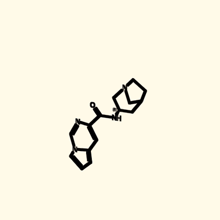 O=C(N[C@@H]1CC2CCN(C2)C1)c1cc2cccn2cn1